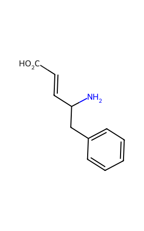 NC(/C=C/C(=O)O)Cc1ccccc1